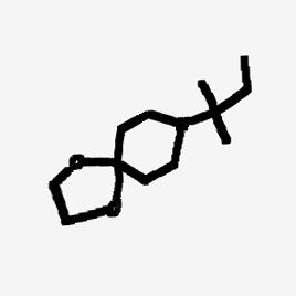 CCC(C)(C)N1CCC2(CC1)OCCO2